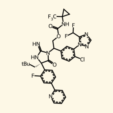 CC(C)(C)C[C@]1(c2ccc(-c3ccccn3)cc2F)NC(=N)N(C(COC(=O)NC2(C(F)(F)F)CC2)c2ccc(Cl)c(-n3ncnc3C(F)F)c2)C1=O